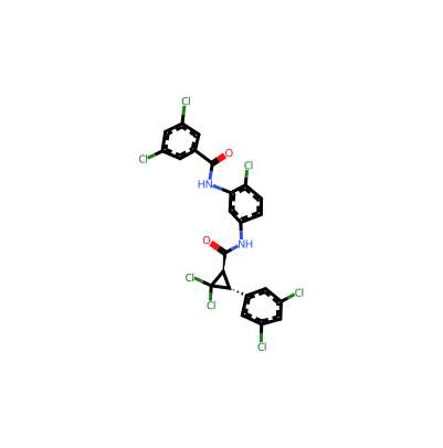 O=C(Nc1cc(NC(=O)[C@H]2[C@H](c3cc(Cl)cc(Cl)c3)C2(Cl)Cl)ccc1Cl)c1cc(Cl)cc(Cl)c1